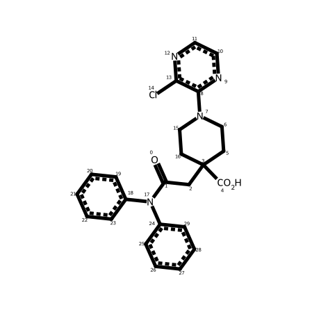 O=C(CC1(C(=O)O)CCN(c2nccnc2Cl)CC1)N(c1ccccc1)c1ccccc1